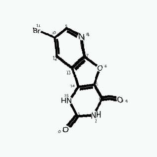 O=c1[nH]c(=O)c2oc3ncc(Br)cc3c2[nH]1